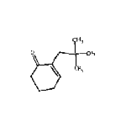 CC(C)(O)CC1=CCCCC1=O